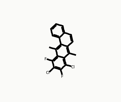 Cc1c2ccc3ccccc3c2c(C)c2c(F)c(Cl)c(F)c(Cl)c12